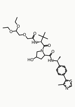 CCOC(COCC(=O)N[C@H](C(=O)N1CC(O)CC1C(=O)N[C@@H](C)c1ccc(-c2scnc2C)cc1)C(C)(C)C)OCC